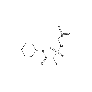 O=C(OC1CCCCC1)C(F)S(=O)(=O)NC[SH](=O)=O